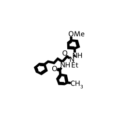 CCN(Nc1ccc(OC)cc1)C(=O)C(CCCc1ccccc1)NC(=O)c1cccc(C)c1